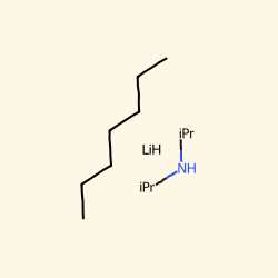 CC(C)NC(C)C.CCCCCCC.[LiH]